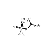 CCCC(OS(=O)(=O)C(F)(F)F)C(=O)OCC